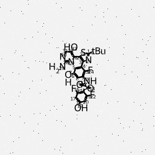 CC(C)(C)c1nc(-c2cc(O)cc(NS(=O)(=O)c3c(F)cc(O)cc3F)c2F)c(-c2nc(N)ncc2O)s1